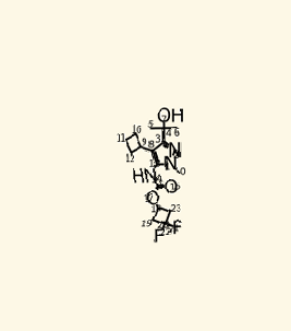 Cn1nc(C(C)(C)O)c(C2CCC2)c1NC(=O)OC1CC(F)(F)C1